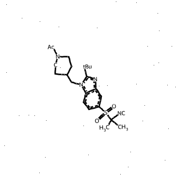 [C-]#[N+]C(C)(C)S(=O)(=O)c1ccc2c(c1)nc(C(C)(C)C)n2CC1CCN(C(C)=O)CC1